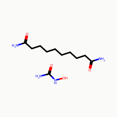 NC(=O)CCCCCCCCC(N)=O.NC(=O)NO